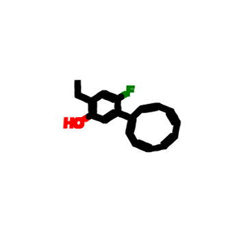 CCc1cc(F)c(-c2ccccccccc2)cc1O